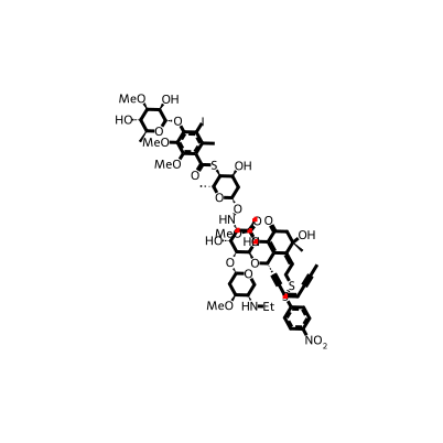 CC#C/C=C\C#C[C@H](O[C@@H]1O[C@H](C)[C@@H](NO[C@H]2C[C@H](O)[C@H](SC(=O)c3c(C)c(I)c(O[C@@H]4O[C@@H](C)[C@H](O)[C@@H](OC)[C@H]4O)c(OC)c3OC)[C@@H](C)O2)[C@@H](O)[C@H]1O[C@H]1C[C@H](OC)[C@@H](NCC)CO1)C1=C(NC(=O)OC)C(=O)C[C@](C)(O)/C1=C/CSSc1ccc([N+](=O)[O-])cc1